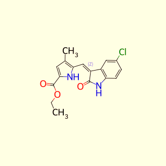 CCOC(=O)c1cc(C)c(/C=C2\C(=O)Nc3ccc(Cl)cc32)[nH]1